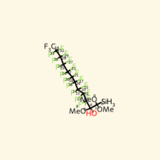 COC([SiH3])(OC)C(O)(OC)C(F)(F)C(F)(F)C(F)(F)C(F)(F)C(F)(F)C(F)(F)C(F)(F)C(F)(F)C(F)(F)C(F)(F)F